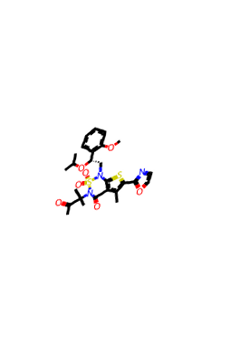 COc1ccccc1[C@H](CN1c2sc(-c3ncco3)c(C)c2C(=O)N(C(C)(C)C(C)=O)S1(=O)=O)OC(C)C